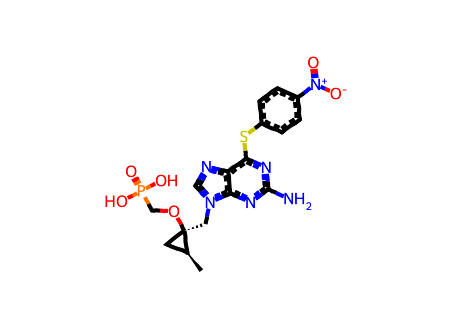 C[C@H]1C[C@@]1(Cn1cnc2c(Sc3ccc([N+](=O)[O-])cc3)nc(N)nc21)OCP(=O)(O)O